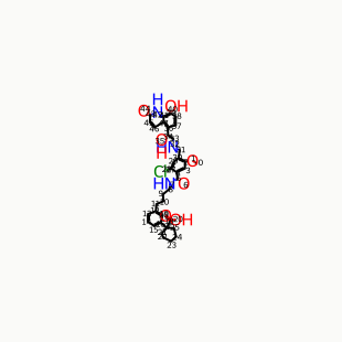 COc1cc(C(=O)NCCCCc2cccc(C3(C(=O)O)CCCCC3)c2)c(Cl)cc1CNC[C@H](O)c1ccc(O)c2[nH]c(=O)ccc12